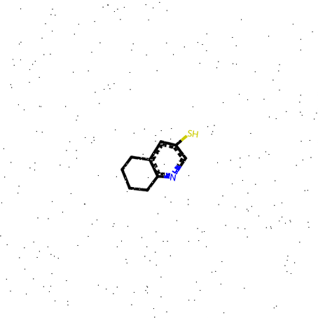 Sc1cnc2c(c1)CCCC2